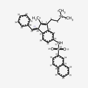 CC1=C(CCN(C)C)c2cc(NS(=O)(=O)c3ccc4ccccc4c3)ccc2/C1=C/c1ccccc1